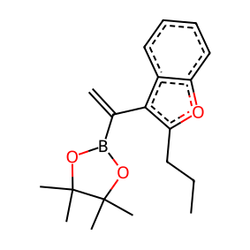 C=C(B1OC(C)(C)C(C)(C)O1)c1c(CCC)oc2ccccc12